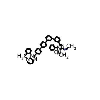 C=Nc1c(/C=C\C)nc(-c2cccc(-c3cccc(-c4ccc(-c5ccc(-c6nc7cccnc7n6-c6ccccc6C)cc5)cc4)c3)c2)n1-c1ccccc1C